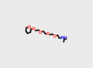 CC(C)NCCOCCOCCOCCOC1CCCCO1